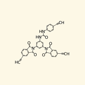 C#Cc1ccc(NC(=O)Nc2cc(N3C(=O)c4ccc(C#C)cc4C3=O)cc(N3C(=O)c4ccc(C#C)cc4C3=O)c2)cc1